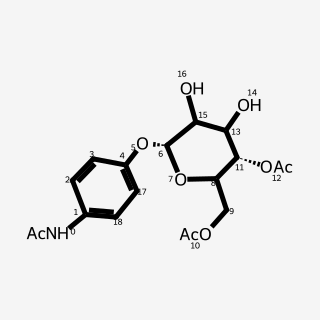 CC(=O)Nc1ccc(O[C@H]2OC(COC(C)=O)[C@@H](OC(C)=O)C(O)C2O)cc1